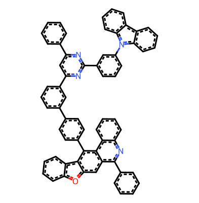 c1ccc(-c2cc(-c3cccc(-c4ccc(-c5c6c(cc7c(-c8ccccc8)nc8ccccc8c57)oc5ccccc56)cc4)c3)nc(-c3cccc(-n4c5ccccc5c5ccccc54)c3)n2)cc1